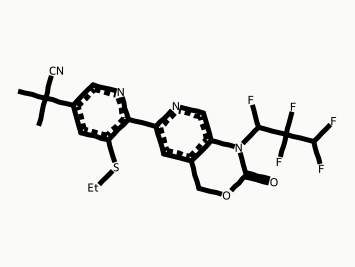 CCSc1cc(C(C)(C)C#N)cnc1-c1cc2c(cn1)N(C(F)C(F)(F)C(F)F)C(=O)OC2